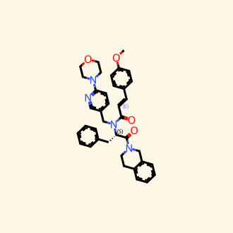 COc1ccc(/C=C/C(=O)N(Cc2ccc(N3CCOCC3)nc2)[C@@H](Cc2ccccc2)C(=O)N2CCc3ccccc3C2)cc1